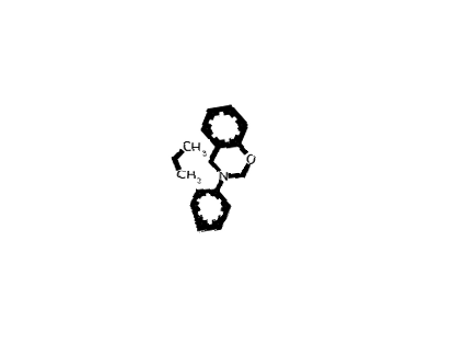 CCC.c1ccc(N2COc3ccccc3C2)cc1